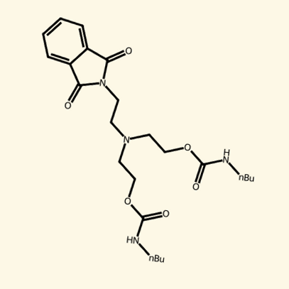 CCCCNC(=O)OCCN(CCOC(=O)NCCCC)CCN1C(=O)c2ccccc2C1=O